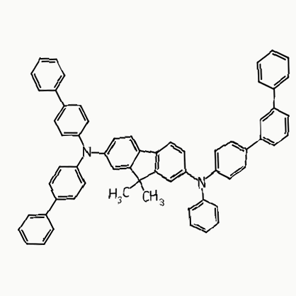 CC1(C)c2cc(N(c3ccccc3)c3ccc(-c4cccc(-c5ccccc5)c4)cc3)ccc2-c2ccc(N(c3ccc(-c4ccccc4)cc3)c3ccc(-c4ccccc4)cc3)cc21